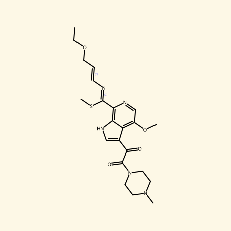 CCOC/C=C/N=C(\SC)c1ncc(OC)c2c(C(=O)C(=O)N3CCN(C)CC3)c[nH]c12